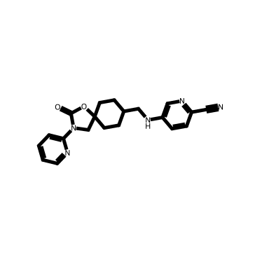 N#Cc1ccc(NCC2CCC3(CC2)CN(c2ccccn2)C(=O)O3)cn1